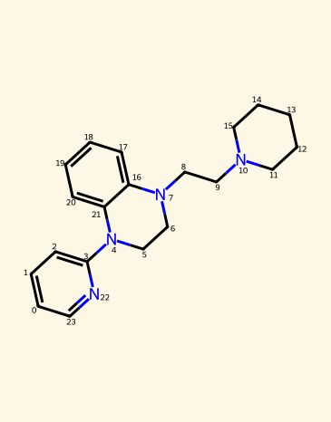 c1ccc(N2CCN(CCN3CCCCC3)c3ccccc32)nc1